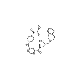 O=C(NCC(O)CN1CCc2ccccc2C1)c1cc(NC2CCN(C(=O)C(=O)C3CC3)CC2)ncn1